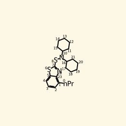 CCCc1cccc2sc(SN(C3CCCCC3)C3CCCCC3)nc12